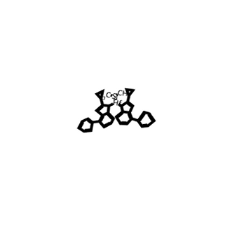 C[Si](C)=[Hf]([CH]1C(C2CC2)=Cc2c(-c3ccccc3)cccc21)[CH]1C(C2CC2)=Cc2c(-c3ccccc3)cccc21